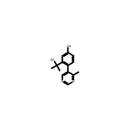 Cc1ncncc1-c1ccc(O)cc1C(C)(C)C#N